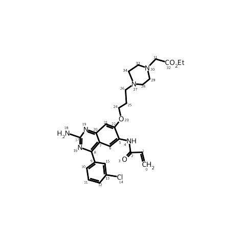 C=CC(=O)Nc1cc2c(-c3cccc(Cl)c3)nc(N)nc2cc1OCCCN1CCN(CC(=O)OCC)CC1